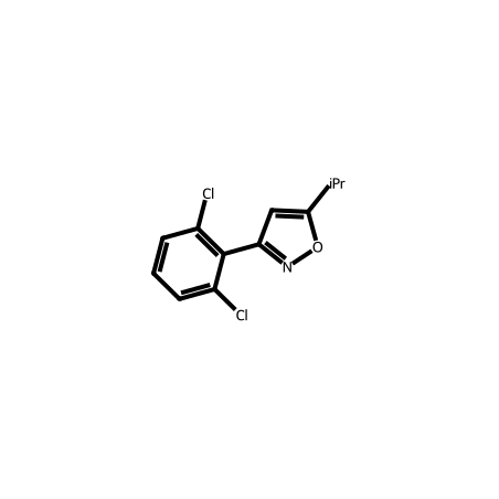 CC(C)c1cc(-c2c(Cl)cccc2Cl)no1